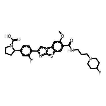 COc1cc2c(cc1C(=O)NCCCN1CCC(F)CC1)sc1nc(-c3ccc([C@H]4CCCN4C(=O)O)cc3F)cn12